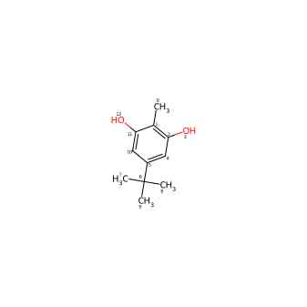 Cc1c(O)cc(C(C)(C)C)cc1O